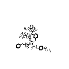 COc1ccc(COC(=O)[C@@H]2[C@@H](Cc3ccnc(N(C(=O)OC(C)(C)C)C(=O)OC(C)(C)C)c3)C(=O)N2C(=S)NCCc2ccccc2)cc1